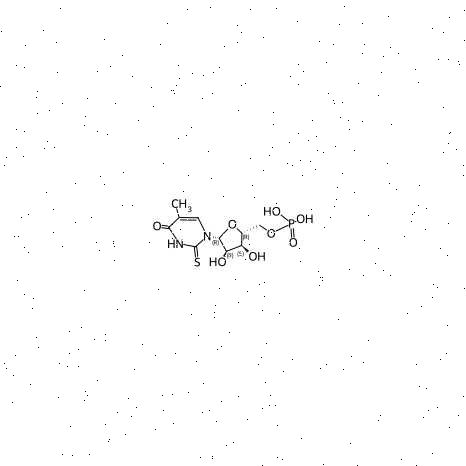 Cc1cn([C@@H]2O[C@H](COP(=O)(O)O)[C@@H](O)[C@H]2O)c(=S)[nH]c1=O